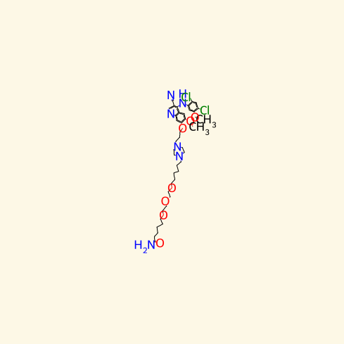 COc1cc(Nc2c(C#N)cnc3cc(OCCCN4CCN(CCCCCCOCCOCCOCCCCCC(N)=O)CC4)c(OC)cc23)c(Cl)cc1Cl